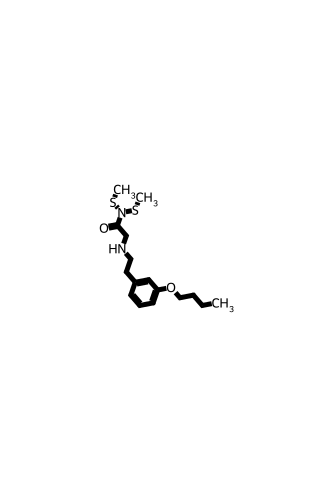 CCCCOc1cccc(CCNCC(=O)N(SC)SC)c1